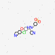 CS(=O)(=O)c1ccc(CNC(c2cccnc2)C2CCC(Oc3cc4ccncc4cc3Cl)CC2)cc1